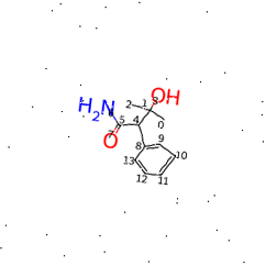 CC(C)(O)C(C(N)=O)c1ccccc1